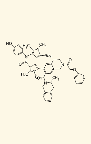 Cc1c(N(C(=O)c2cc(-c3cc4c(cc3C(=O)N3Cc5ccccc5C[C@H]3C)CN(C(=O)COc3ccccc3)CC4)n(C)c2C)c2ccc(O)cc2)cc(C#N)n1C